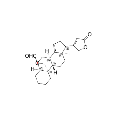 C[C@]12CC[C@H]3[C@@H](CC[C@@H]4CCCC[C@@]43COC=O)C1=CC[C@@H]2C1=CC(=O)OC1